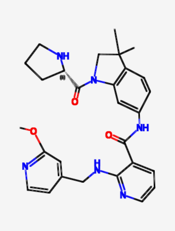 COc1cc(CNc2ncccc2C(=O)Nc2ccc3c(c2)N(C(=O)[C@@H]2CCCN2)CC3(C)C)ccn1